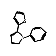 c1ccc(N2CCCC2c2cccs2)cc1